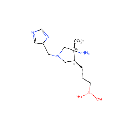 N[C@@]1(C(=O)O)CN(CC2C=NC=N2)C[C@@H]1CCCB(O)O